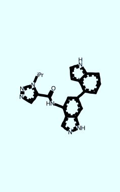 CC(C)n1nncc1C(=O)Nc1cc(-c2cccc3[nH]ccc23)cc2[nH]ncc12